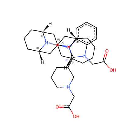 O=C(O)CN1CCC/C(=C2/N(CC(=O)O)c3ccccc3N2[C@@H]2C[C@H]3CCC[C@@H](C2)N3[C@@H]2C[C@@H]3CCCC[C@@H](C3)C2)C1